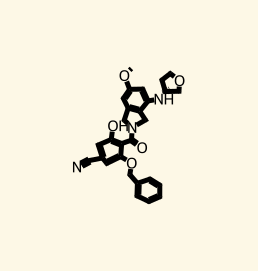 COc1cc2c(c(N[C@@H]3CCOC3)c1)CN(C(=O)c1c(O)cc(C#N)cc1OCc1ccccc1)C2